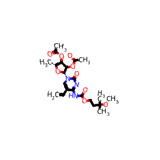 C=Cc1cn([C@@H]2O[C@H](C)C(OC(C)=O)C2OC(C)=O)c(=O)nc1NC(=O)OCCC(C)(C)OC